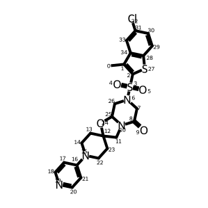 Cc1c(S(=O)(=O)N2CC(=O)N3CC4(CCN(c5ccncc5)CC4)OC3C2)sc2ccc(Cl)cc12